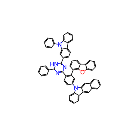 c1ccc(C2N=C(c3ccc(-n4c5ccccc5c5cc6ccccc6cc54)cc3-c3cccc4c3oc3ccccc34)N=C(c3ccc4c5ccccc5n(-c5ccccc5)c4c3)N2)cc1